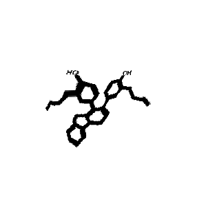 CCCCc1cc(-c2ccc3c(c2-c2ccc(O)c(CCCC)c2)Cc2ccccc2-3)ccc1O